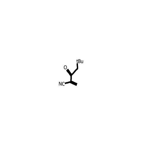 C=C(C#N)C(=O)CC(C)(C)C